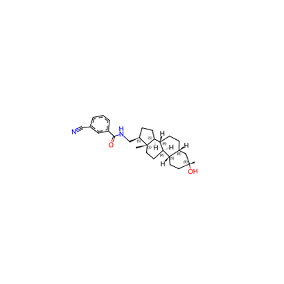 C[C@@]1(O)CC[C@H]2[C@H](CC[C@@H]3[C@@H]2CC[C@]2(C)[C@@H](CNC(=O)c4cccc(C#N)c4)CC[C@@H]32)C1